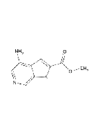 COC(=O)c1cc2c(N)cncc2s1